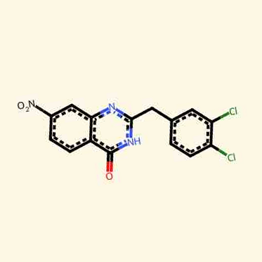 O=c1[nH]c(Cc2ccc(Cl)c(Cl)c2)nc2cc([N+](=O)[O-])ccc12